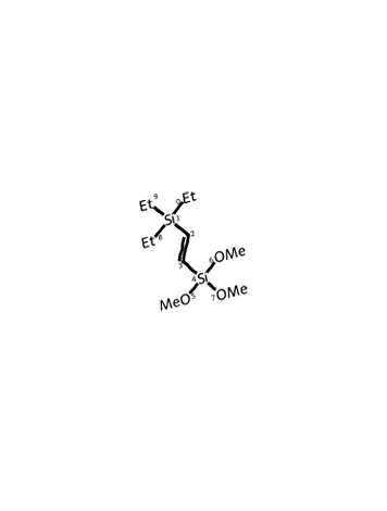 CC[Si](C=C[Si](OC)(OC)OC)(CC)CC